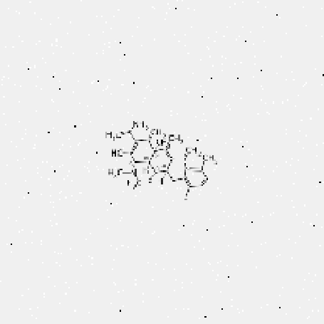 C=C(N)C1=C(O)[C@@H](N(C)C)[C@@H]2[C@@H](F)[C@@H]3Cc4c(F)ccc(C)c4C(=C)C3=C(C)[C@]2(C)C1=C